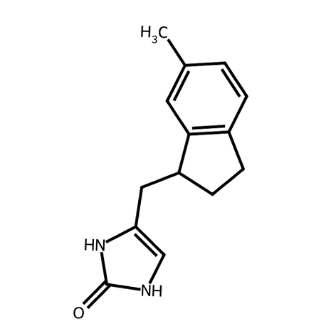 Cc1ccc2c(c1)C(Cc1c[nH]c(=O)[nH]1)CC2